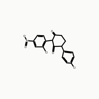 O=C1CCC(c2ccc(Cl)cc2)C(=O)C1c1ccc([N+](=O)[O-])cc1Cl